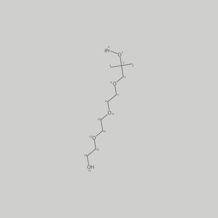 CC(C)OC(C)(C)COCCOCCOCCO